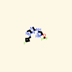 FC(F)Oc1cc(Nc2cnc3cnn(CC45CC(F)(C4)C5)c3n2)n[nH]1